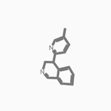 Cc1ccc(C2CN=Cc3ccccc32)nc1